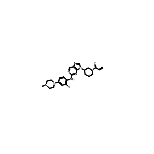 C=CC(=O)N1CCCC(n2cnc3cnc(Nc4ccc(N5CCN(C)CC5)cc4F)nc32)C1